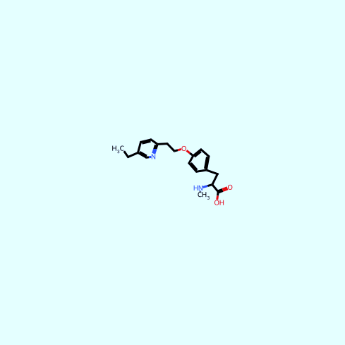 CCc1ccc(CCOc2ccc(CC(NC)C(=O)O)cc2)nc1